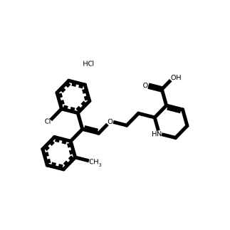 Cc1ccccc1C(=COCCC1NCCC=C1C(=O)O)c1ccccc1Cl.Cl